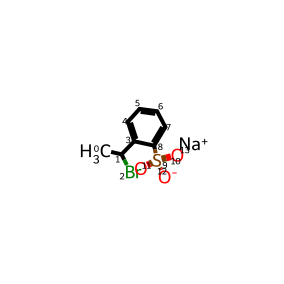 CC(Br)c1ccccc1S(=O)(=O)[O-].[Na+]